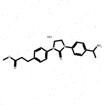 COC(=O)CCc1ccc(N2CCN(c3ccc(C(C)N)cc3)C2=O)cc1.Cl